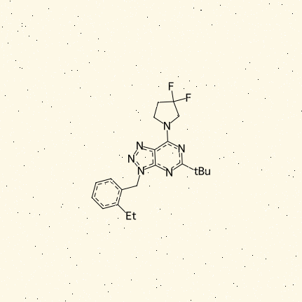 [CH2]Cc1ccccc1Cn1nnc2c(N3CCC(F)(F)C3)nc(C(C)(C)C)nc21